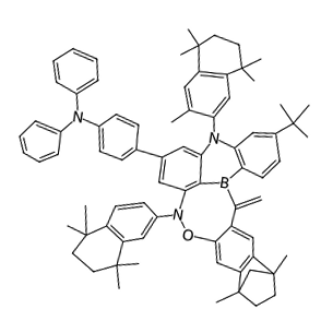 C=C1B2c3ccc(C(C)(C)C)cc3N(c3cc4c(cc3C)C(C)(C)CCC4(C)C)c3cc(-c4ccc(N(c5ccccc5)c5ccccc5)cc4)cc(c32)N(c2ccc3c(c2)C(C)(C)CCC3(C)C)Oc2cc3c(cc21)C1(C)CCC3(C)C1